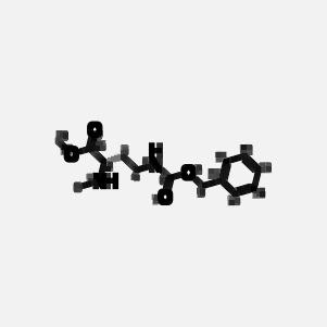 CN[C@@H](CCNC(=O)OCc1ccccc1)C(=O)OC